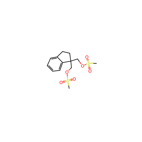 CS(=O)(=O)OCC1(COS(C)(=O)=O)CCc2ccccc21